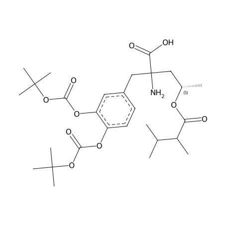 CC(C)C(C)C(=O)O[C@@H](C)CC(N)(Cc1ccc(OC(=O)OC(C)(C)C)c(OC(=O)OC(C)(C)C)c1)C(=O)O